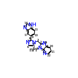 CCCn1c(Cn2ccnc2-c2ccc3[nH]cnc3c2)nc2cccnc21